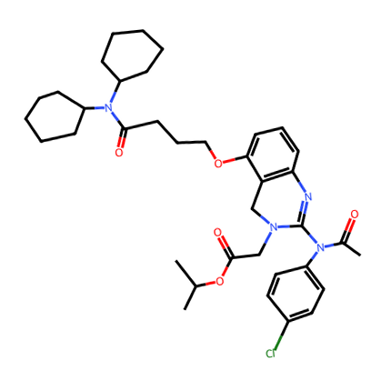 CC(=O)N(C1=Nc2cccc(OCCCC(=O)N(C3CCCCC3)C3CCCCC3)c2CN1CC(=O)OC(C)C)c1ccc(Cl)cc1